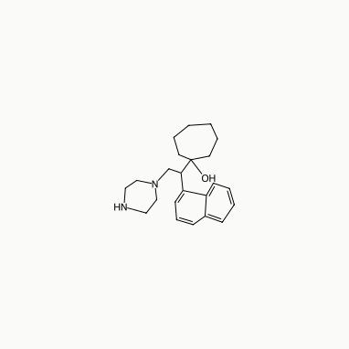 OC1(C(CN2CCNCC2)c2cccc3ccccc23)CCCCCC1